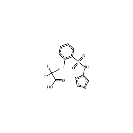 O=C(O)C(F)(F)F.O=S(=O)(Nc1cscn1)c1ccccc1F